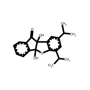 CC(C)c1cc(C(C)C)c2c(c1)C1(O)C(=O)c3ccccc3C1(O)O2